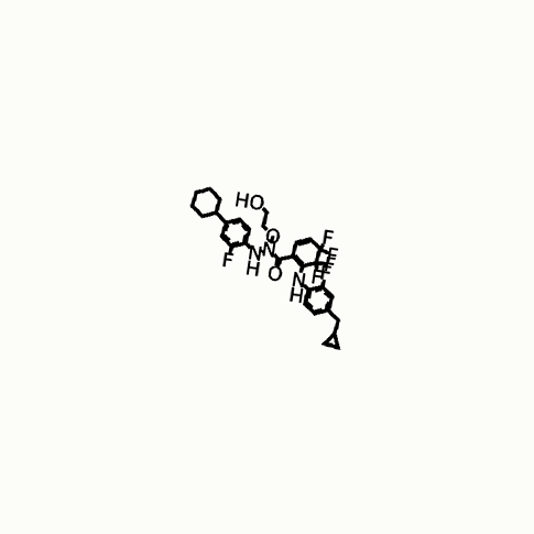 O=C(C1=C(Nc2ccc(CC3CC3)cc2F)C(F)(F)C(F)(F)C=C1)N(Nc1ccc(C2CCCCC2)cc1F)OCCO